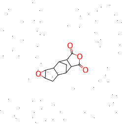 O=C1OC(=O)C2C3CC(C4CC5OC5C43)C12